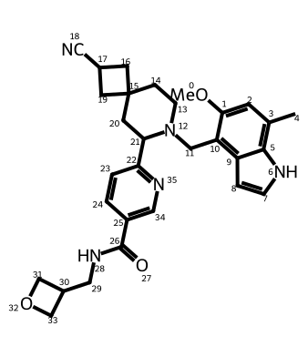 COc1cc(C)c2[nH]ccc2c1CN1CCC2(CC(C#N)C2)CC1c1ccc(C(=O)NCC2COC2)cn1